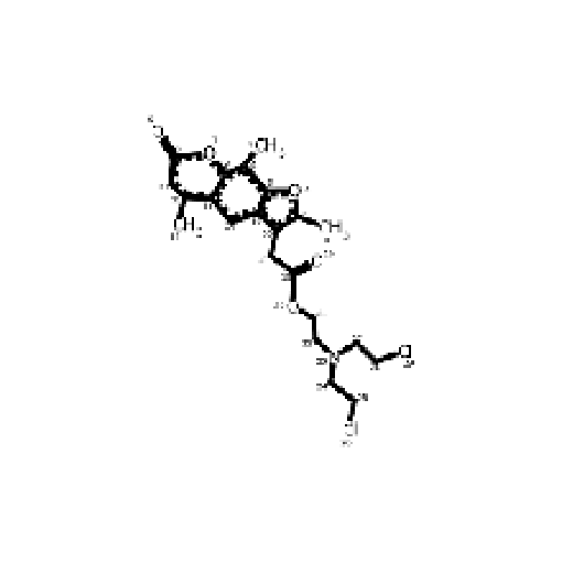 Cc1oc2c(C)c3oc(=O)cc(C)c3cc2c1CC(=O)OCCN(CCCl)CCCl